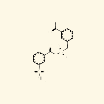 CC(=O)c1cccc(CS(=O)(=O)NC(=O)c2cccc(S(N)(=O)=O)c2)c1